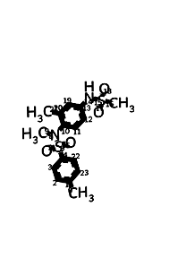 Cc1ccc(S(=O)(=O)N(C)c2ccc(NS(C)(=O)=O)cc2C)cc1